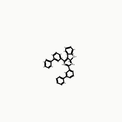 c1ccc(-c2cccc(-c3nc(-c4cccc(-c5ccccc5)c4)c4c(n3)oc3ccccc34)c2)cc1